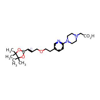 CC1(C)OB(/C=C/COCCc2ccc(N3CCN(CC(=O)O)CC3)nc2)OC1(C)C